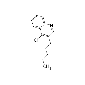 CCCCCc1cnc2ccccc2c1Cl